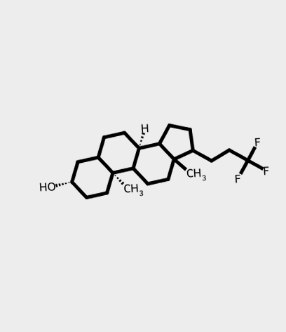 CC12CCC3[C@@H](CCC4C[C@@H](O)CC[C@@]43C)C1CCC2CCC(F)(F)F